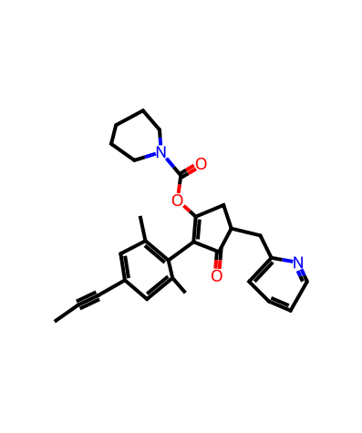 CC#Cc1cc(C)c(C2=C(OC(=O)N3CCCCC3)CC(Cc3ccccn3)C2=O)c(C)c1